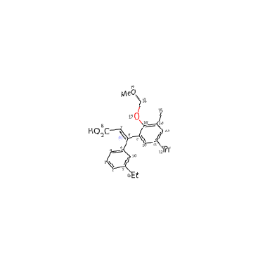 CCc1cccc(/C(=C\C(=O)O)c2cc(C(C)C)cc(C)c2OCOC)c1